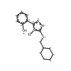 CCn1c(SCC2CCCCC2)nnc1-c1ccccc1O